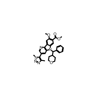 COC(=O)c1cc2c(cc1OC)c1ncc(-c3c(C)nnn3C)cc1n2C(c1ccccc1)C1CCOCC1